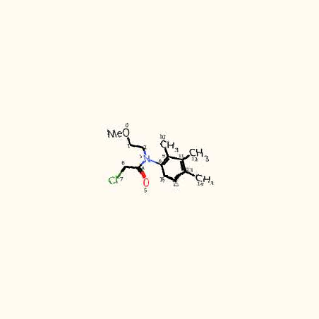 COCCN(C(=O)CCl)C1=C(C)C(C)=C(C)CC1